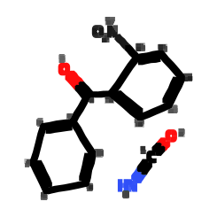 N=C=O.O=C(c1ccccc1)c1ccccc1[N+](=O)[O-]